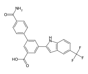 NC(=O)c1ccc(-c2cc(C(=O)O)cc(-c3cc4cc(C(F)(F)F)ccc4[nH]3)c2)cc1